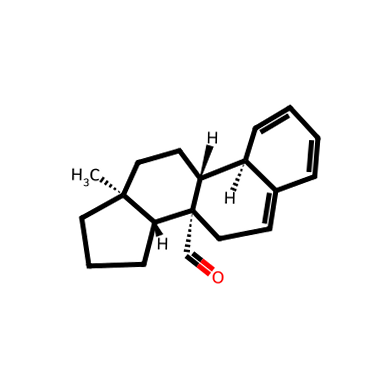 C[C@@]12CCC[C@H]1[C@]1(C=O)CC=C3C=CC=C[C@@H]3[C@H]1CC2